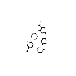 C[C@H]1CN(c2ccc(C#N)cn2)CC[C@@H]1Nc1cc(Nc2ccc(N3CCCCC3=O)cn2)ncc1C(N)=O